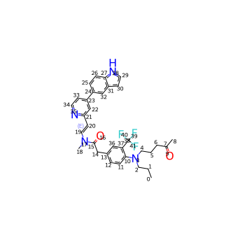 CCCN(CCCC(C)=O)c1ccc(CC(=O)N(C)/C=C/c2cc(-c3ccc4[nH]ccc4c3)ccn2)cc1C(F)(F)F